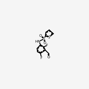 O=Cc1c(F)ccc(NS(=O)(=O)c2cccs2)c1F